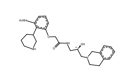 CC(=O)Nc1cccc(OCC(=O)NC[C@@H](O)CN2CCc3ccccc3C2)c1C1CCCNC1